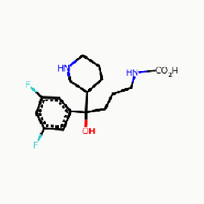 O=C(O)NCCCC(O)(c1cc(F)cc(F)c1)C1CCCNC1